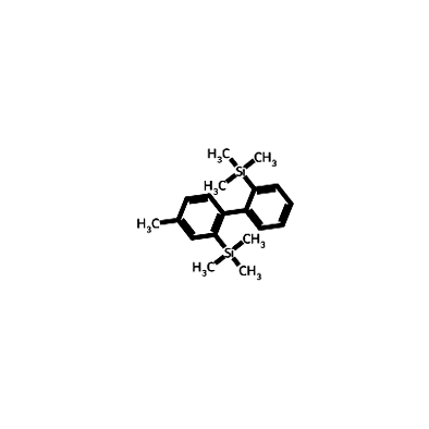 Cc1ccc(-c2ccccc2[Si](C)(C)C)c([Si](C)(C)C)c1